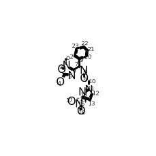 Cn1oc(=O)nc1/C(=N\OCn1ccc([N+](=O)[O-])n1)c1ccccc1